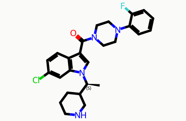 C[C@@H](C1CCCNC1)n1cc(C(=O)N2CCN(c3ccccc3F)CC2)c2ccc(Cl)cc21